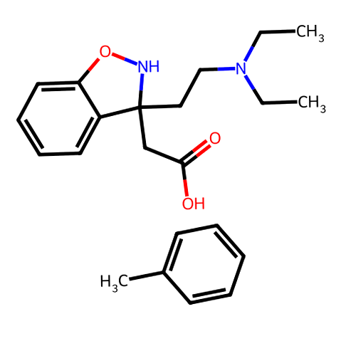 CCN(CC)CCC1(CC(=O)O)NOc2ccccc21.Cc1ccccc1